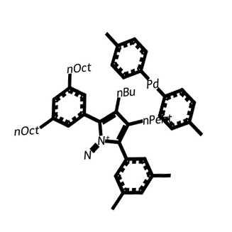 CCCCCCCCc1cc(CCCCCCCC)cc(C2=C(CCCC)C(CCCCC)=C(c3cc(C)cc(C)c3)[N+]2=[N-])c1.Cc1cc[c]([Pd][c]2ccc(C)cc2)cc1